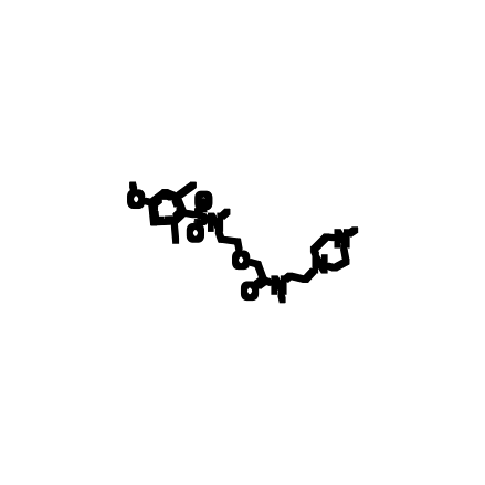 COc1cc(C)c(S(=O)(=O)N(C)CCOCC(=O)N(C)CCN2CCN(C)CC2)c(C)c1